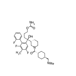 CNC[C@H]1CC[C@H](C(=O)N2CCC[C@@H]([C@@](O)(CCCOC(N)=O)c3cc(F)c(C)c(F)c3-c3ccccc3F)C2)CC1